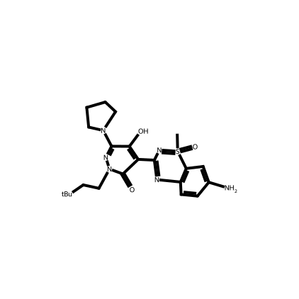 CC(C)(C)CCn1nc(N2CCCC2)c(O)c(C2=Nc3ccc(N)cc3S(C)(=O)=N2)c1=O